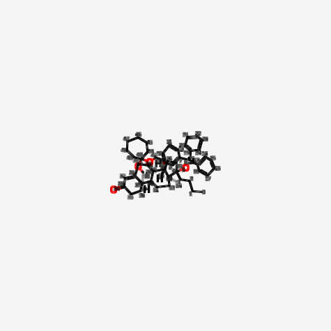 CCCCC1(O[Si](c2ccccc2)(c2ccccc2)c2ccccc2)CC[C@H]2[C@@H]3CCC4=CC(=O)CC[C@]4(COC4(OCC)CCCCCC4)[C@@H]3CC[C@@]21C